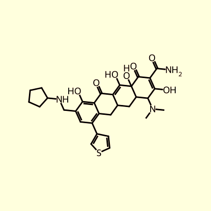 CN(C)C1C(O)=C(C(N)=O)C(=O)C2(O)C(O)=C3C(=O)c4c(O)c(CNC5CCCC5)cc(-c5ccsc5)c4CC3CC12